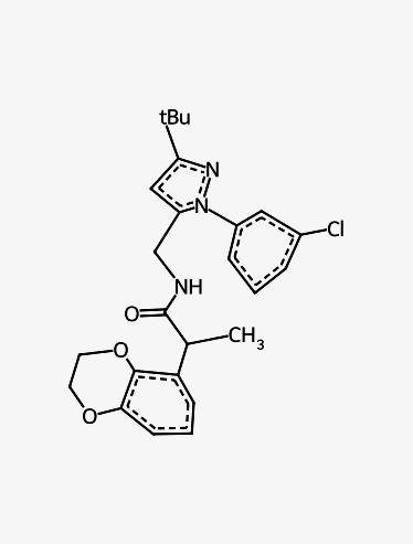 CC(C(=O)NCc1cc(C(C)(C)C)nn1-c1cccc(Cl)c1)c1cccc2c1OCCO2